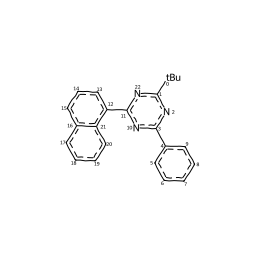 CC(C)(C)c1nc(-c2ccccc2)nc(-c2cccc3ccccc23)n1